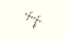 F[B-](F)(F)F.F[B-](F)(F)F.[K+].[K+]